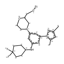 CCOCC1CN(c2cc(NC3CCC(F)(F)CC3)nc(-n3nc(C)cc3C)n2)CCO1